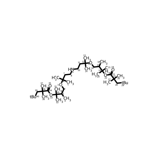 CC(COC(C)(C)CCNCCC(C)(C)OCC(C)C(C)(C)OC(=O)C(C)(C)CC(C)(C)C)C(C)(C)OC(=O)C(C)(C)CC(C)(C)C